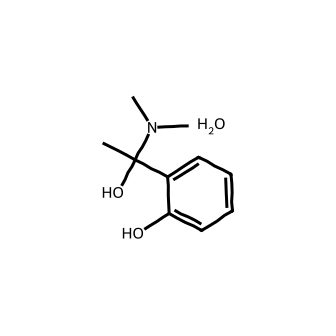 CN(C)C(C)(O)c1ccccc1O.O